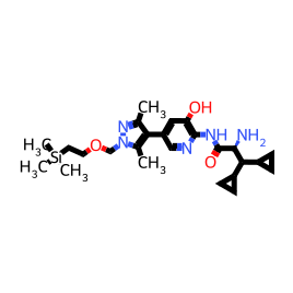 Cc1nn(COCC[Si](C)(C)C)c(C)c1-c1cnc(NC(=O)[C@@H](N)C(C2CC2)C2CC2)c(O)c1